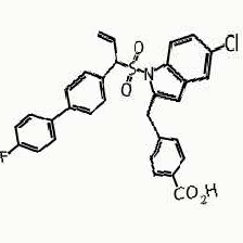 C=CC(c1ccc(-c2ccc(F)cc2)cc1)S(=O)(=O)n1c(Cc2ccc(C(=O)O)cc2)cc2cc(Cl)ccc21